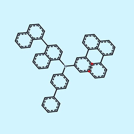 c1ccc(-c2ccc(N(c3cccc(-c4cccc5cccc(-c6ccccc6)c45)c3)c3ccc(-c4cccc5ccccc45)c4ccccc34)cc2)cc1